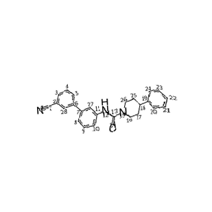 N#Cc1cccc(-c2cccc(NC(=O)N3CCC(c4ccccc4)CC3)c2)c1